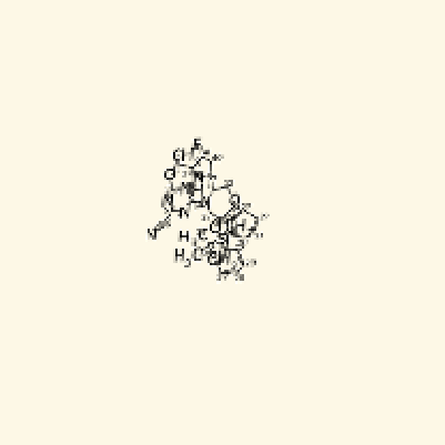 C[C@@H](Oc1nc(C#N)nc(N2CCOC[C@@](C)(O[Si](c3ccccc3)(c3ccccc3)C(C)(C)C)C2)n1)[C@H]1NCC[C@H]1F